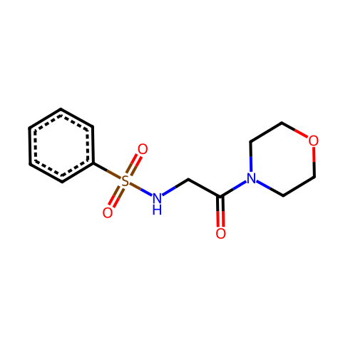 O=C(CNS(=O)(=O)c1ccccc1)N1CCOCC1